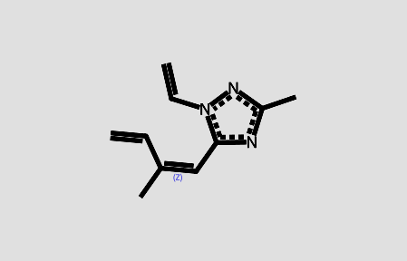 C=C/C(C)=C\c1nc(C)nn1C=C